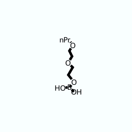 CCCOCCOCCOB(O)O